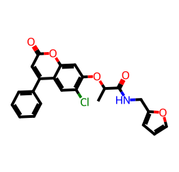 CC(Oc1cc2oc(=O)cc(-c3ccccc3)c2cc1Cl)C(=O)NCc1ccco1